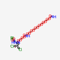 CNC(=O)CCOCCOCCOCCOCCOCCOCCOCCOCCOCCOCCOCCOCCNC(=O)OCCOCCOCCOc1cc(NC2CCN(S(=O)(=O)C(F)(F)F)CC2)c2cc(C(c3ccc(Cl)cc3)c3ccc(Cl)cc3)ccc2n1